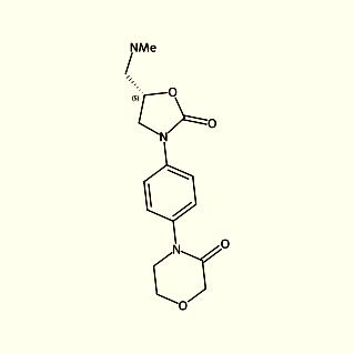 CNC[C@H]1CN(c2ccc(N3CCOCC3=O)cc2)C(=O)O1